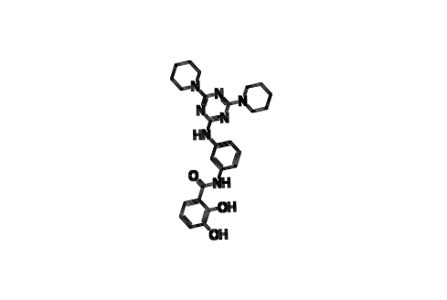 O=C(Nc1cccc(Nc2nc(N3CCCCC3)nc(N3CCCCC3)n2)c1)c1cccc(O)c1O